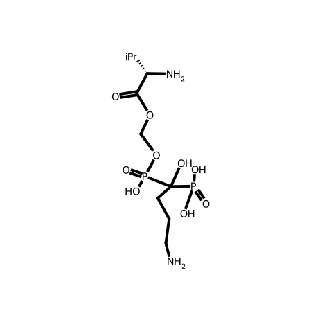 CC(C)[C@H](N)C(=O)OCOP(=O)(O)C(O)(CCCN)P(=O)(O)O